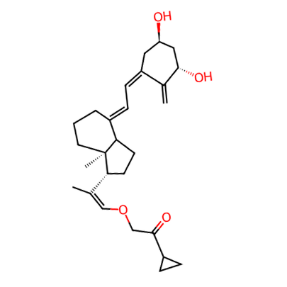 C=C1/C(=C\C=C2/CCC[C@@]3(C)C2CC[C@@H]3/C(C)=C\OCC(=O)C2CC2)C[C@@H](O)C[C@@H]1O